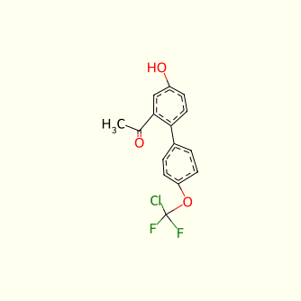 CC(=O)c1cc(O)ccc1-c1ccc(OC(F)(F)Cl)cc1